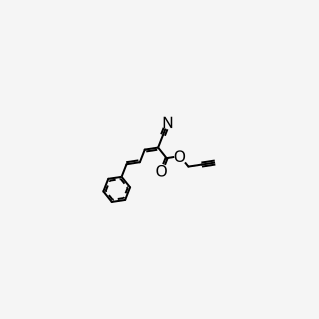 C#CCOC(=O)C(C#N)=CC=Cc1ccccc1